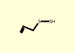 C=CCSS